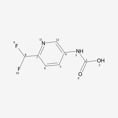 O=C(O)Nc1ccc(C(F)F)nc1